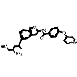 C=N/C=C(N)\C=C(/C)c1ccc2cnc(NC(=O)c3ccc(OC4CCNCC4)cc3)cc2c1